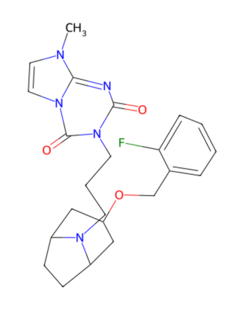 Cn1ccn2c(=O)n(CCCN3C4CCC3CC(OCc3ccccc3F)C4)c(=O)nc12